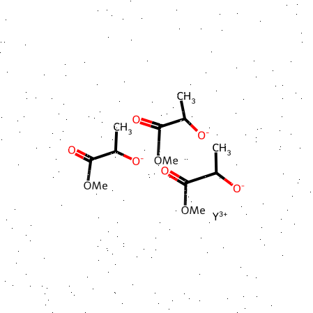 COC(=O)C(C)[O-].COC(=O)C(C)[O-].COC(=O)C(C)[O-].[Y+3]